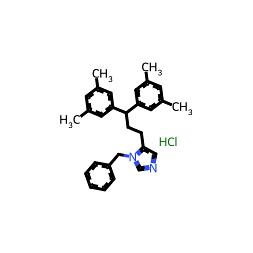 Cc1cc(C)cc(C(CCc2cncn2Cc2ccccc2)c2cc(C)cc(C)c2)c1.Cl